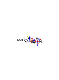 COc1ccc(CN(c2cscn2)S(=O)(=O)c2cc(C)c(N[C@H]3C[C@H]4CC[C@@H](C3)N4C(=O)OC(C)(C)C)cn2)cc1